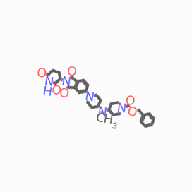 CN(C1CCN(C(=O)OCc2ccccc2)CC1)C1CCN(c2ccc3c(c2)C(=O)N(C2CCC(=O)NC2=O)C3=O)CC1